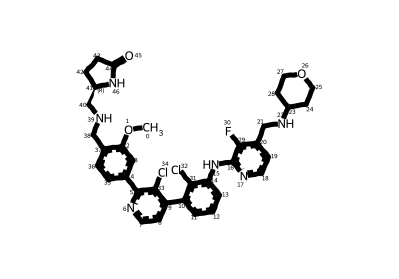 COc1cc(-c2nccc(-c3cccc(Nc4nccc(CNC5CCOCC5)c4F)c3Cl)c2Cl)ccc1CNC[C@H]1CCC(=O)N1